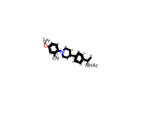 CCCOc1ccc(N2CCC(c3ccc([C@H](C)NC(C)=O)cc3)CC2)c(C#N)c1